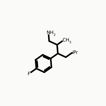 CC(C)CC(c1ccc(F)cc1)C(C)CN